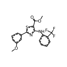 COC(=O)c1sc(-c2cccc(OC)c2)nc1Nc1ccccc1C(F)(F)F